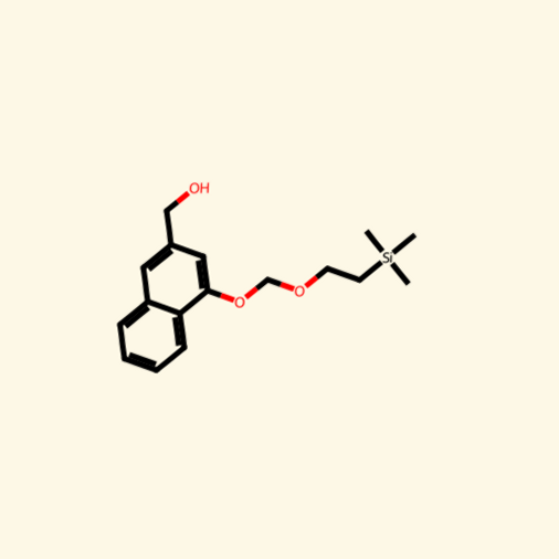 C[Si](C)(C)CCOCOc1cc(CO)cc2ccccc12